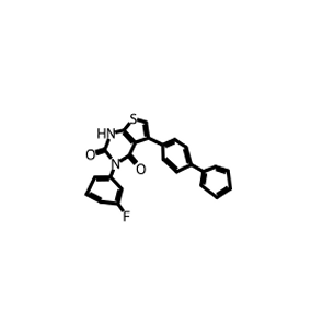 O=c1[nH]c2scc(-c3ccc(-c4ccccc4)cc3)c2c(=O)n1-c1cccc(F)c1